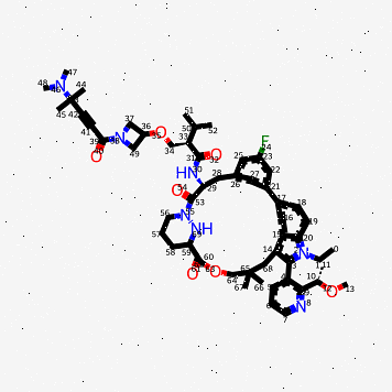 CCn1c(-c2cccnc2[C@H](C)OC)c2c3cc(ccc31)-c1cc(F)cc(c1)C[C@H](NC(=O)[C@@H](COC1CN(C(=O)C#CC(C)(C)N(C)C)C1)C(C)C)C(=O)N1CCC[C@](C=O)(COCC(C)(C)C2)N1